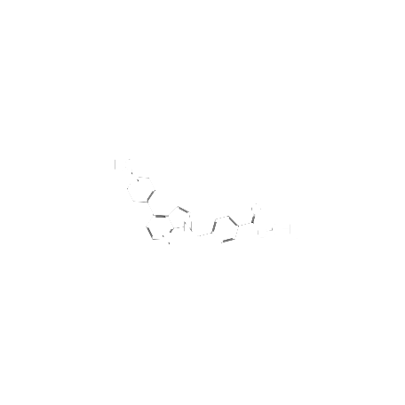 COC(=O)c1ccc(Cn2ccc3c(C4=CCN(C)CC4)ccnc32)cc1